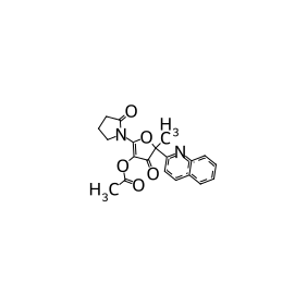 CC(=O)OC1=C(N2CCCC2=O)OC(C)(c2ccc3ccccc3n2)C1=O